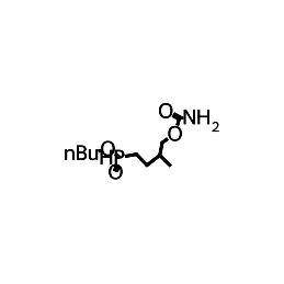 CCCCO[PH](=O)CCC(C)COC(N)=O